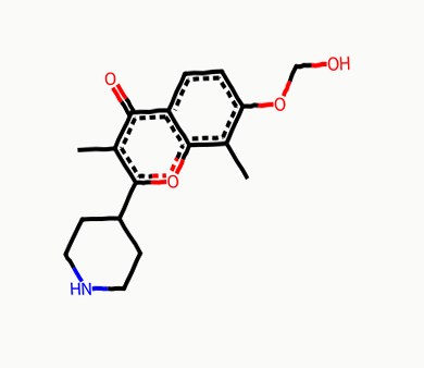 Cc1c(C2CCNCC2)oc2c(C)c(OCO)ccc2c1=O